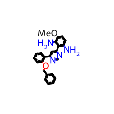 COc1ccc(N)c(-c2cc(-c3ccccc3OCc3ccccc3)ncn2)c1N